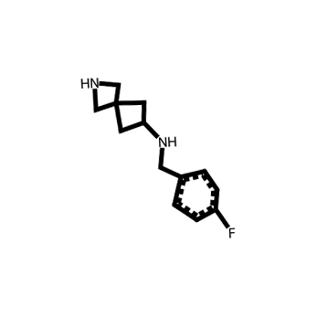 Fc1ccc(CNC2CC3(CNC3)C2)cc1